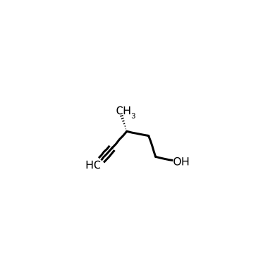 C#C[C@H](C)CCO